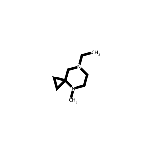 CCN1CCN(C)C2(CC2)C1